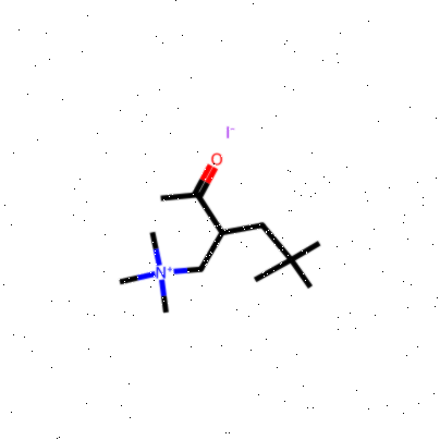 CC(=O)C(CC(C)(C)C)C[N+](C)(C)C.[I-]